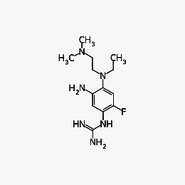 CCN(CCN(C)C)c1cc(F)c(NC(=N)N)cc1N